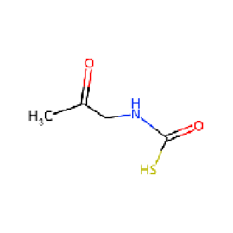 CC(=O)CNC(=O)S